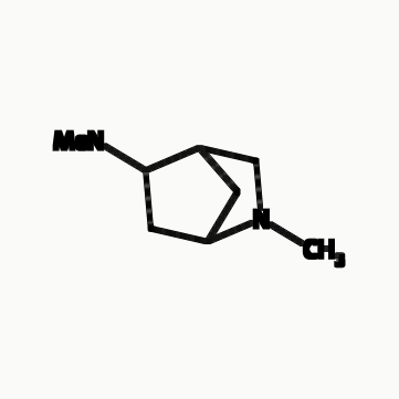 CNC1CC2CC1CN2C